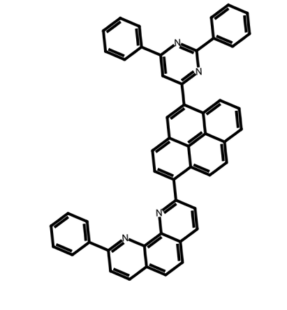 c1ccc(-c2cc(-c3cc4ccc(-c5ccc6ccc7ccc(-c8ccccc8)nc7c6n5)c5ccc6cccc3c6c45)nc(-c3ccccc3)n2)cc1